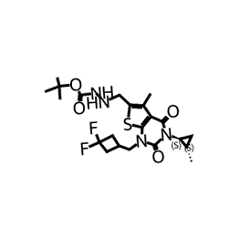 Cc1c(CNNC(=O)OC(C)(C)C)sc2c1c(=O)n([C@H]1C[C@@H]1C)c(=O)n2CC1CC(F)(F)C1